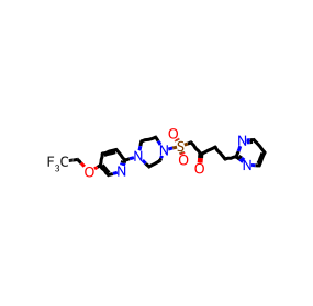 O=C(CCc1ncccn1)CS(=O)(=O)N1CCN(c2ccc(OCC(F)(F)F)cn2)CC1